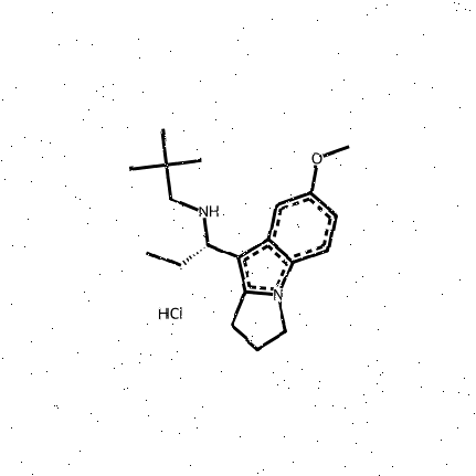 C[CH][C@H](NCC(C)(C)C)c1c2n(c3ccc(OC)cc13)CCC2.Cl